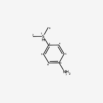 C[SH](C)c1ccc(N)cc1